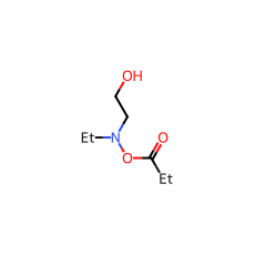 CCC(=O)ON(CC)CCO